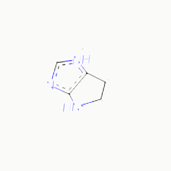 c1nc2c([nH]1)CCN2